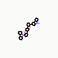 c1ccc2c(c1)[nH]c1ccc(-c3cccc4c3oc3cc5c(cc34)oc3c(-n4c6ccccc6c6ccccc64)cccc35)cc12